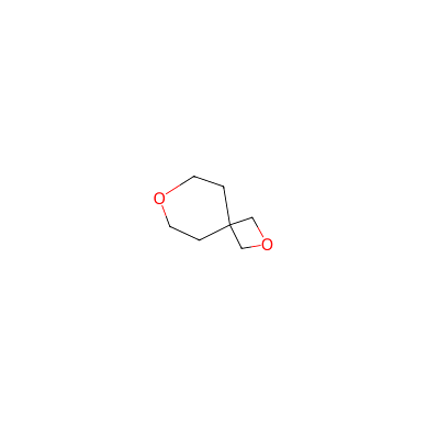 C1CC2(CCO1)COC2